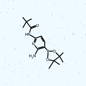 CC(C)(C)C(=O)Nc1ccc(B2OC(C)(C)C(C)(C)O2)c(N)n1